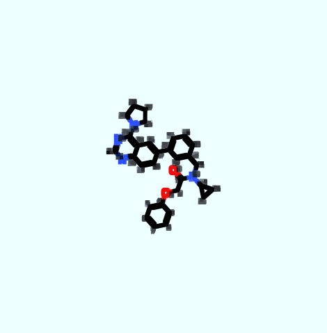 O=C(COc1ccccc1)N(Cc1cccc(-c2ccc3ncnc(N4CCCC4)c3c2)c1)C1CC1